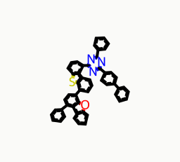 c1ccc(-c2ccc(-c3nc(-c4ccccc4)nc(-c4cccc5sc6c(-c7ccc(-c8ccccc8)c8c7oc7ccccc78)cccc6c45)n3)cc2)cc1